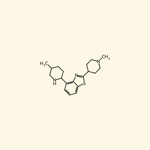 CC1CCC(c2cccc3sc(C4CCN(C)CC4)nc23)NC1